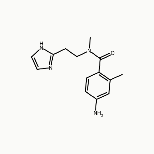 Cc1cc(N)ccc1C(=O)N(C)CCc1ncc[nH]1